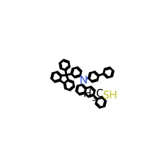 CC1(S)C=CC=CC1c1ccc2c(N(c3ccc(-c4ccccc4)cc3)c3cccc(C4(c5ccccc5)c5ccccc5-c5ccccc54)c3)cccc2c1